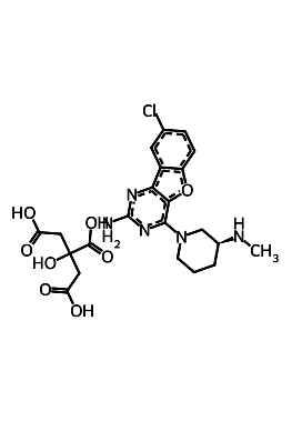 CN[C@H]1CCCN(c2nc(N)nc3c2oc2ccc(Cl)cc23)C1.O=C(O)CC(O)(CC(=O)O)C(=O)O